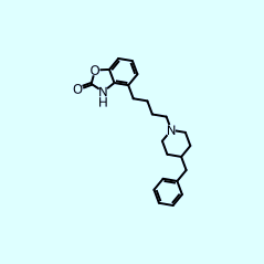 O=c1[nH]c2c(CCCCN3CCC(Cc4ccccc4)CC3)cccc2o1